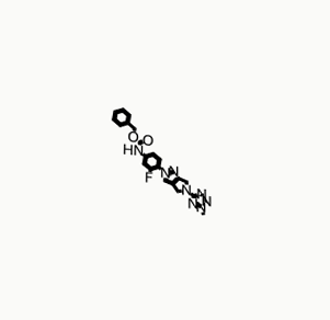 Cn1nnc(N2Cc3cn(-c4ccc(NC(=O)OCc5ccccc5)cc4F)nc3C2)n1